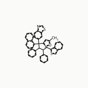 Cc1cc(C([C](c2ccccc2)C(Cc2scc3ccccc23)c2ccccc2)(c2ccc3ncsc3c2)c2cccc3ccccc23)no1